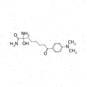 CN(C)c1ccc(C(=O)CCCCCC(N)(O)C(N)=O)cc1